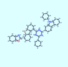 c1ccc(-c2nc(-c3ccc4c5ccccc5n(-c5ccccc5)c4c3)nc(-c3cccc4sc5c(-c6nc7ccccc7o6)cccc5c34)n2)cc1